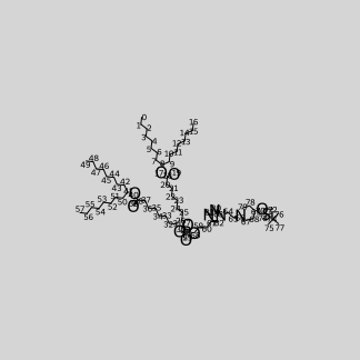 CCCCCCCCC(CCCCCCCC)OC(=O)CCCCCCCOP(=O)(OCCCCCCCC(=O)OC(CCCCCCCC)CCCCCCCC)OCCc1cn(CCN2CCC(O[Si](C)(C)C(C)(C)C)CC2)nn1